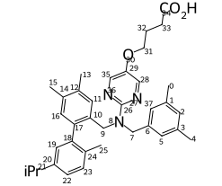 Cc1cc(C)cc(CN(Cc2cc(C)c(C)cc2-c2cc(C(C)C)ccc2C)c2ncc(OCCCC(=O)O)cn2)c1